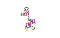 CC(C)(C)OC(=O)N[C@@H](CCCCN(Cc1ccccc1)C(=O)O)COC(=O)N(Cc1cccs1)Cc1cccs1